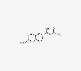 COc1ccc2cc(C(O)=CC(=O)C(F)(F)F)ccc2c1